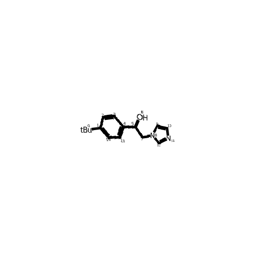 CC(C)(C)c1ccc(C(O)Cn2ccnc2)cc1